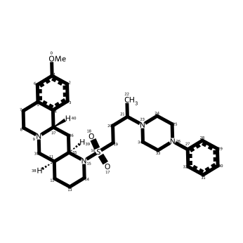 COc1ccc2c(c1)CCN1C[C@@H]3CCCN(S(=O)(=O)CCC(C)N4CCN(c5ccccc5)CC4)[C@@H]3C[C@@H]21